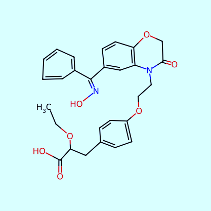 CCOC(Cc1ccc(OCCN2C(=O)COc3ccc(C(=NO)c4ccccc4)cc32)cc1)C(=O)O